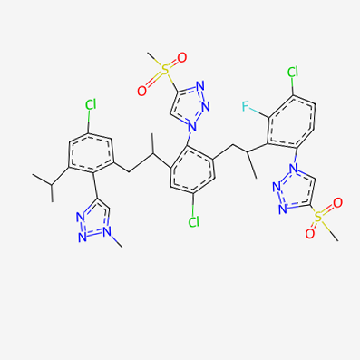 CC(C)c1cc(Cl)cc(CC(C)c2cc(Cl)cc(CC(C)c3c(-n4cc(S(C)(=O)=O)nn4)ccc(Cl)c3F)c2-n2cc(S(C)(=O)=O)nn2)c1-c1cn(C)nn1